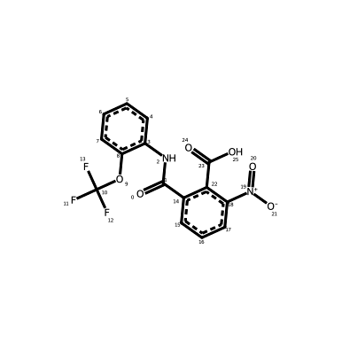 O=C(Nc1ccccc1OC(F)(F)F)c1cccc([N+](=O)[O-])c1C(=O)O